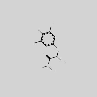 CC(C)c1c(Cl)cc(OC(C#N)C(=O)N(C)C)cc1Cl